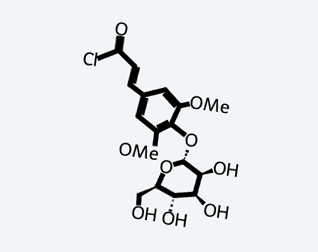 COc1cc(C=CC(=O)Cl)cc(OC)c1O[C@H]1O[C@H](CO)[C@@H](O)[C@H](O)[C@@H]1O